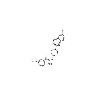 Fc1ccc2nc(C3CCC(Cc4nc5cc(Cl)ccc5[nH]4)CC3)ccc2c1